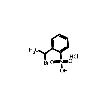 CC(Br)c1ccccc1S(=O)(=O)O.Cl